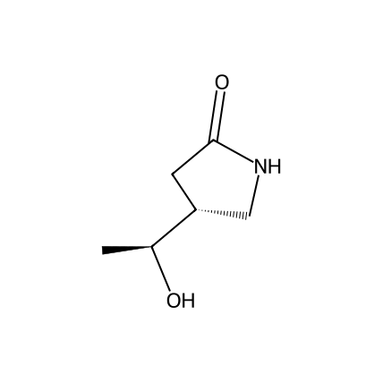 C[C@H](O)[C@H]1CNC(=O)C1